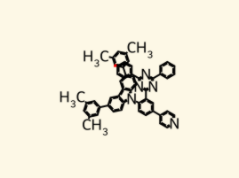 Cc1cc(C)cc(-c2ccc3c(c2)c2cc(-c4cc(C)cc(C)c4)ccc2n3-c2ccc(-c3ccncc3)cc2-c2nc(-c3ccccc3)nc(-c3ccccc3)n2)c1